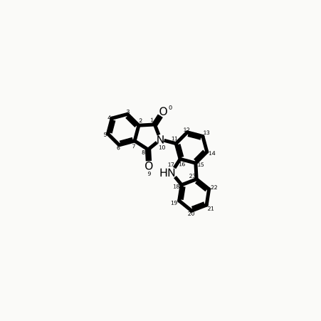 O=C1c2ccccc2C(=O)N1c1cccc2c1[nH]c1ccccc12